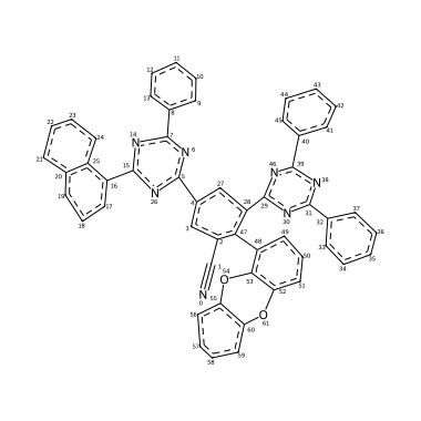 N#Cc1cc(-c2nc(-c3ccccc3)nc(-c3cccc4ccccc34)n2)cc(-c2nc(-c3ccccc3)nc(-c3ccccc3)n2)c1-c1cccc2c1Oc1ccccc1O2